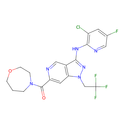 O=C(c1cc2c(cn1)c(Nc1ncc(F)cc1Cl)nn2CC(F)(F)F)N1CCCOCC1